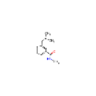 CNC(=O)c1cccc(CC(C)C)c1